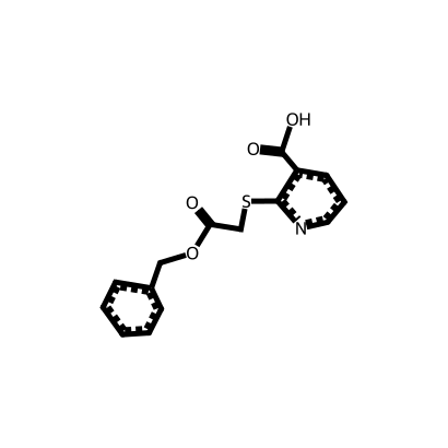 O=C(CSc1ncccc1C(=O)O)OCc1ccccc1